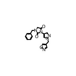 O=C1CN(Cc2ccccc2)C(=O)N1c1cnn(Cc2cnoc2)c1